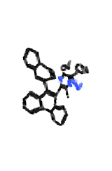 Cc1nc(C#N)c(C#N)nc1-c1c(-c2ccc3ccccc3c2)c2ccccc2c2ccccc12